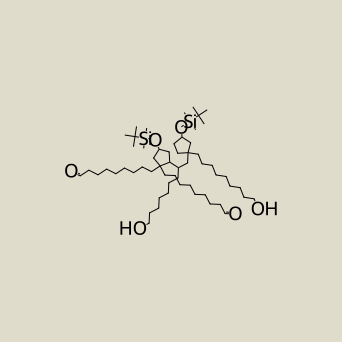 CC(C)(C)[Si](C)(C)OC1CCC(CCCCCCCCCO)(CC(CCCCCCCO)C2CC(O[Si](C)(C)C(C)(C)C)CC2(CCCCCCCCC=O)CCCCCCCCC=O)C1